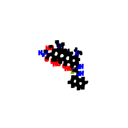 CN(C)c1cc(NC(=S)Nc2cccc3ccccc23)c(O)c2c1C[C@H]1C[C@H]3[C@H](N(C)C)C(O)=C(C(N)=O)C(=O)[C@@]3(O)C(O)=C1C2=O